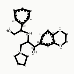 OCC(NC(CN1CCCC1)C(O)c1ccc2c(c1)OCCO2)c1ccccc1